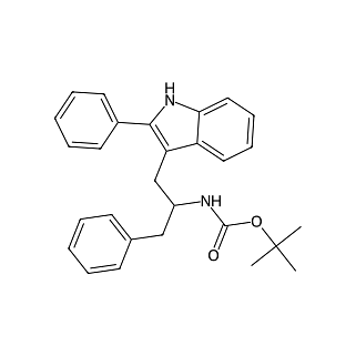 CC(C)(C)OC(=O)NC(Cc1ccccc1)Cc1c(-c2ccccc2)[nH]c2ccccc12